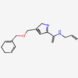 C=CCNC(=C)C1=NCC(COCC2=CCCC=C2)=C1